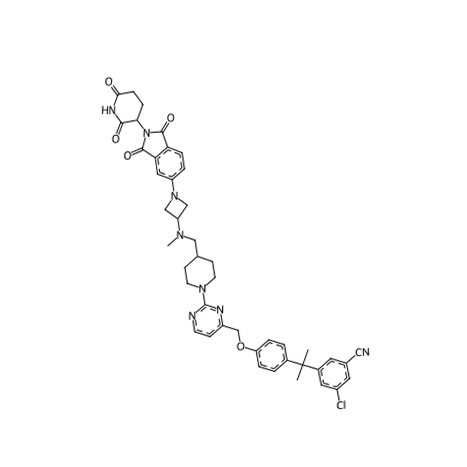 CN(CC1CCN(c2nccc(COc3ccc(C(C)(C)c4cc(Cl)cc(C#N)c4)cc3)n2)CC1)C1CN(c2ccc3c(c2)C(=O)N(C2CCC(=O)NC2=O)C3=O)C1